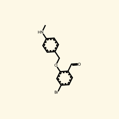 CNc1ccc(COc2cc(Br)ccc2C=O)cc1